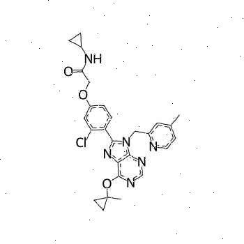 Cc1ccnc(Cn2c(-c3ccc(OCC(=O)NC4CC4)cc3Cl)nc3c(OC4(C)CC4)ncnc32)c1